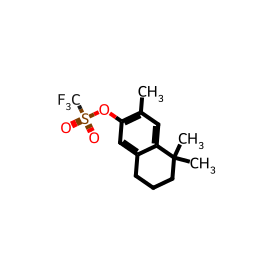 Cc1cc2c(cc1OS(=O)(=O)C(F)(F)F)CCCC2(C)C